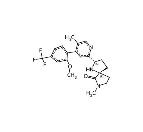 COc1cc(C(F)(F)F)ccc1-c1cc([C@@H]2CC[C@]3(CCN(C)C3=O)N2)ncc1C